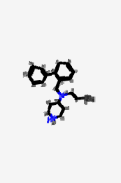 CC(C)(C)CCN(Cc1ccccc1-c1ccccc1)C1CCNCC1